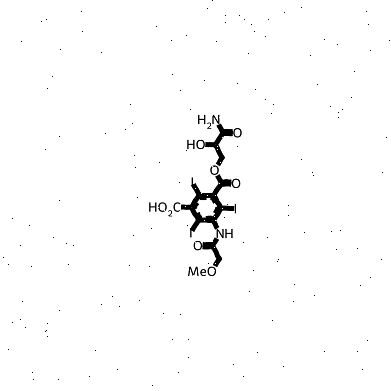 COCC(=O)Nc1c(I)c(C(=O)O)c(I)c(C(=O)OCC(O)C(N)=O)c1I